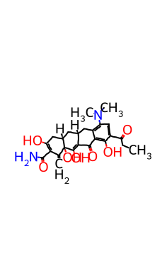 C=C1C(C(N)=O)=C(O)C[C@@H]2C[C@@H]3Cc4c(N(C)C)cc(C(=O)CC)c(O)c4C(=O)C3=C(O)[C@]12O